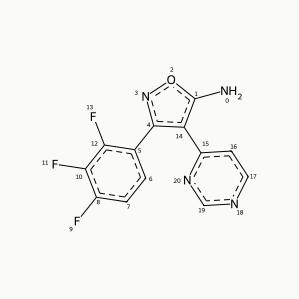 Nc1onc(-c2ccc(F)c(F)c2F)c1-c1ccncn1